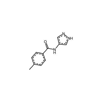 Cc1ccc(C(=O)Nc2cn[nH]c2)cc1